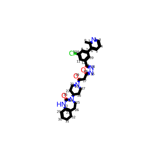 Cc1ncccc1-c1cc(Cl)cc(-c2nnc(CC(=O)N3CCC(N4CCC5=C(C=CCC5)NC4=O)CC3)o2)c1